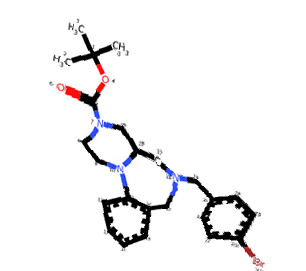 CC(C)(C)OC(=O)N1CCN2c3ccccc3CN(Cc3ccc(Br)cc3)CC2C1